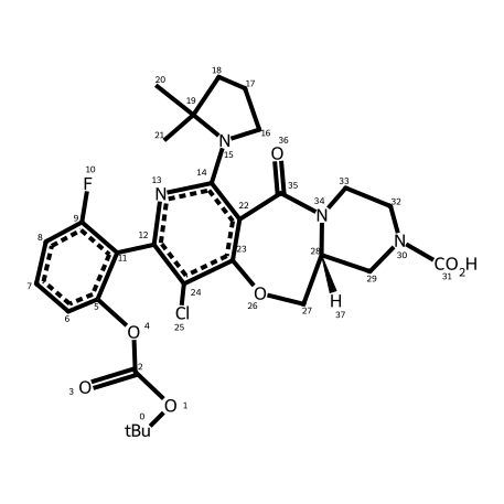 CC(C)(C)OC(=O)Oc1cccc(F)c1-c1nc(N2CCCC2(C)C)c2c(c1Cl)OC[C@H]1CN(C(=O)O)CCN1C2=O